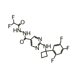 O=C(NNC(=O)C(F)F)c1cnc(NC2(c3cc(F)c(F)cc3F)CCC2)nc1